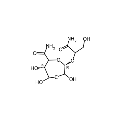 NC(=O)C(CO)O[C@@H]1OC(C(N)=O)[C@@H](O)C(O)CC1O